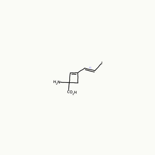 NC1(C(=O)O)C=C(/C=C/I)C1